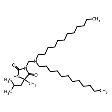 CCCCCCCCCCCCN(CCCCCCCCCCCC)CN1C(=O)NC(C)(CC(C)C)C1=O